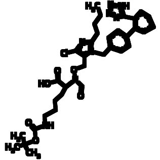 CCCCc1nc(Cl)c(CON(C=O)C(CCCCNC(=O)OC(C)(C)C)C(=O)O)n1Cc1ccc(-c2ccccc2-c2nnn[nH]2)cc1